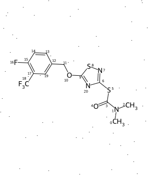 CN(C)C(=O)Sc1nsc(OCc2ccc(F)c(C(F)(F)F)c2)n1